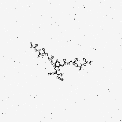 C=CC(=O)OCC(C)OC(=O)CCC(=O)Oc1ccc(OC(=O)CCC(=O)OC(C)COC(=O)C=C)c2c1SC(=C(C#N)C(=O)OC)S2